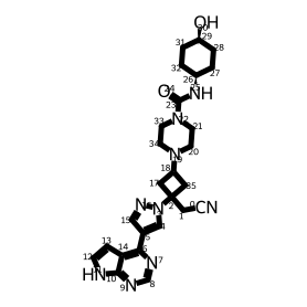 N#CCC1(n2cc(-c3ncnc4[nH]ccc34)cn2)CC(N2CCN(C(=O)N[C@H]3CC[C@H](O)CC3)CC2)C1